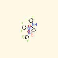 O=C(Nc1cc(F)cc(F)c1)c1cccc(C(=O)Nc2cc(F)cc(F)c2)c1C(=O)Nc1cc(F)cc(F)c1